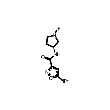 CC(C)c1cc(C(=O)N[C@H]2CCN(C(C)C)C2)no1